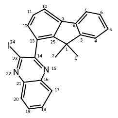 CC1(C)c2ccccc2-c2cccc(-c3nc4ccccc4nc3I)c21